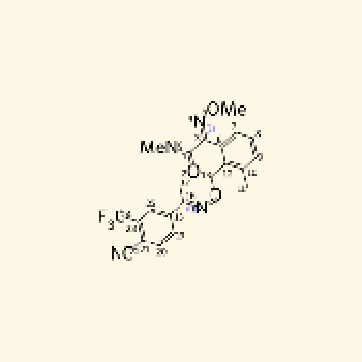 CNC(=O)/C(=N/OC)c1cccc(C)c1CO/N=C(\C)c1ccc(C#N)c(C(F)(F)F)c1